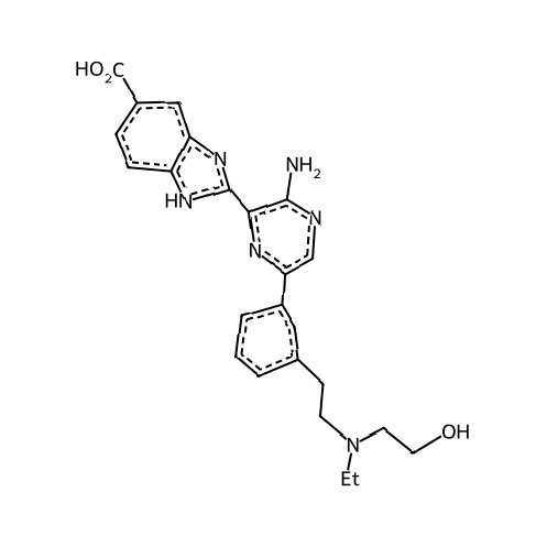 CCN(CCO)CCc1cccc(-c2cnc(N)c(-c3nc4cc(C(=O)O)ccc4[nH]3)n2)c1